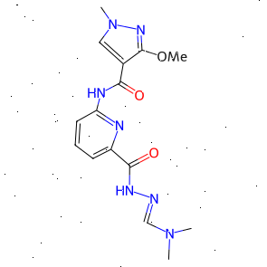 COc1nn(C)cc1C(=O)Nc1cccc(C(=O)NN=CN(C)C)n1